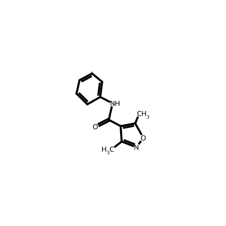 Cc1noc(C)c1C(=O)Nc1c[c]ccc1